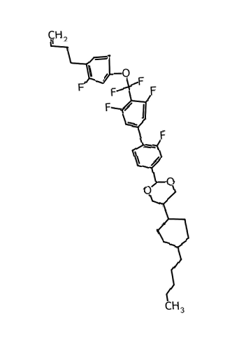 C=CCCc1ccc(OC(F)(F)c2c(F)cc(-c3ccc(C4OCC(C5CCC(CCCCC)CC5)CO4)cc3F)cc2F)cc1F